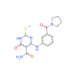 CSc1nc(Nc2cccc(C(=O)N3CCCC3)c2)c(C(N)=O)c(=O)[nH]1